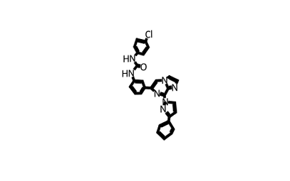 O=C(Nc1ccc(Cl)cc1)Nc1cccc(-c2cn3ccnc3c(-n3ccc(-c4ccccc4)n3)n2)c1